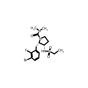 CCS(=O)(=O)N[C@H]1CCN(C(=O)N(C)C)[C@H]1Cc1cccc(Br)c1F